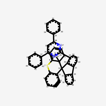 CC12CC=CC=C1Sc1ccc#cc1C21c2ccccc2-c2cccc(-c3nc(-c4ccccc4)cc(-c4ccccc4)n3)c21